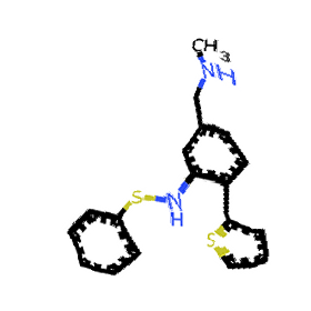 CNCc1ccc(-c2cccs2)c(NSc2ccccc2)c1